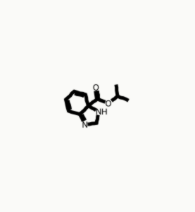 CC(C)OC(=O)C12C=CC=CC1=NCN2